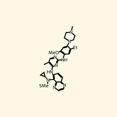 CCc1cc(Nc2ncc(C)c(Nc3ccc4nccnc4c3N(SC)C3CC3)n2)c(OC)cc1N1CCN(C)CC1